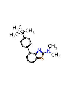 CN(C)c1nc2c(-c3ccc([Si](C)(C)C)cc3)cccc2s1